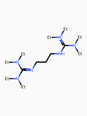 CCN(CC)C(=NCCCNC(N(CC)CC)=[N+](CC)CC)N(CC)CC